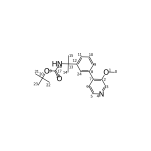 COc1cnccc1-c1cccc(C(C)(C)NC(=O)OC(C)(C)C)c1